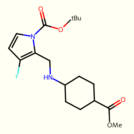 COC(=O)C1CCC(NCc2c(F)ccn2C(=O)OC(C)(C)C)CC1